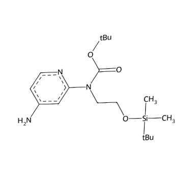 CC(C)(C)OC(=O)N(CCO[Si](C)(C)C(C)(C)C)c1cc(N)ccn1